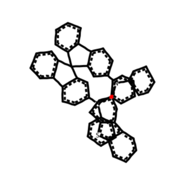 c1ccc(N(c2ccccc2)c2ccc3c(c2)C2(c4ccccc4-3)c3ccccc3-c3ccc(N(c4ccccc4)c4ccc5sc6ccccc6c5c4)cc32)cc1